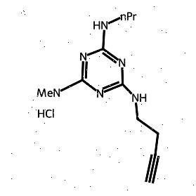 C#CCCNc1nc(NC)nc(NCCC)n1.Cl